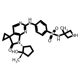 CC1(NS(=O)(=O)c2ccc(Nc3ncc4c(n3)N([C@@H]3CCC[C@]3(C)O)C(=O)C43CC3)cc2)CNC1